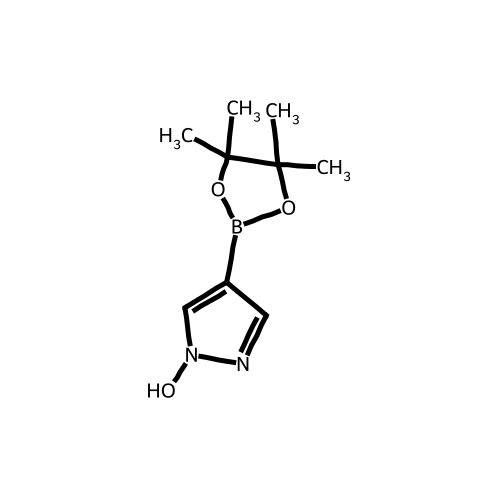 CC1(C)OB(c2cnn(O)c2)OC1(C)C